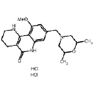 COc1cc(CN2CC(C)OC(C)C2)cc2[nH]c(=O)c3c(c12)NCCC3.Cl.Cl